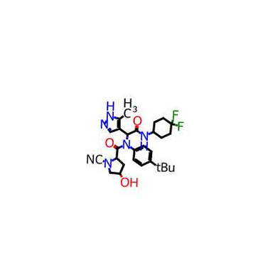 Cc1[nH]ncc1C(C(=O)NC1CCC(F)(F)CC1)N(C(=O)C1CC(O)CN1C#N)c1ccc(C(C)(C)C)cc1